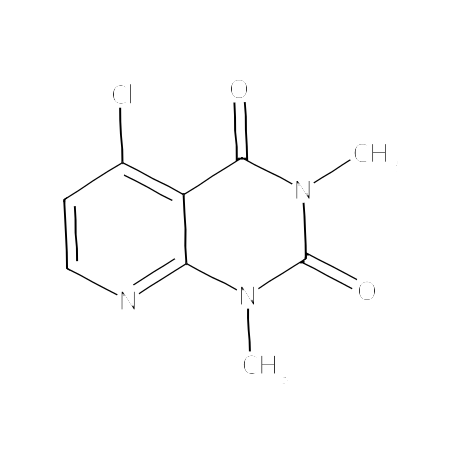 Cn1c(=O)c2c(Cl)ccnc2n(C)c1=O